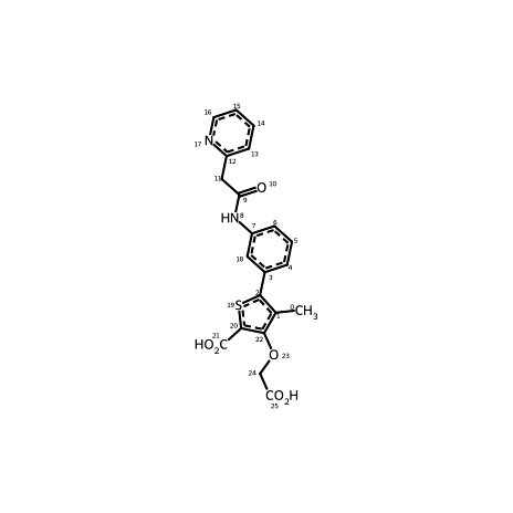 Cc1c(-c2cccc(NC(=O)Cc3ccccn3)c2)sc(C(=O)O)c1OCC(=O)O